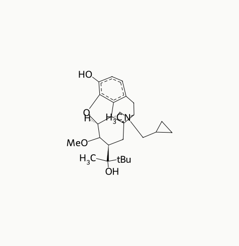 COC1[C@H](C(C)(O)C(C)(C)C)C[C@@]2(C)C3Cc4ccc(O)c5c4[C@]2(CCN3CC2CC2)[C@@H]1O5